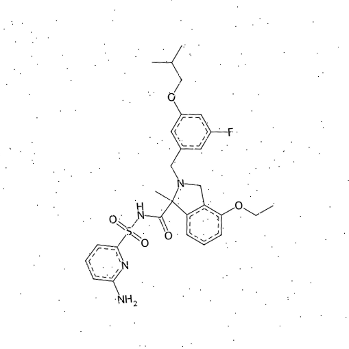 CCOc1cccc2c1CN(Cc1cc(F)cc(OCC(C)C)c1)C2(C)C(=O)NS(=O)(=O)c1cccc(N)n1